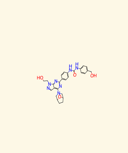 O=C(Nc1ccc(CO)cc1)Nc1ccc(-c2nc(N3CC4CCC(C3)O4)c3cnn(CCO)c3n2)cc1